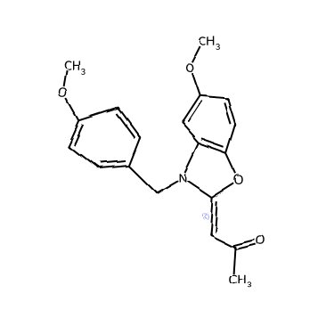 COc1ccc(CN2/C(=C/C(C)=O)Oc3ccc(OC)cc32)cc1